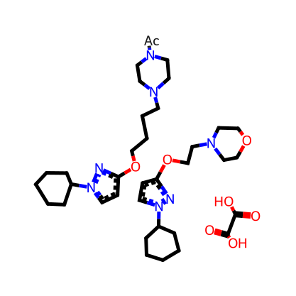 CC(=O)N1CCN(CCCCOc2ccn(C3CCCCC3)n2)CC1.O=C(O)C(=O)O.c1cn(C2CCCCC2)nc1OCCN1CCOCC1